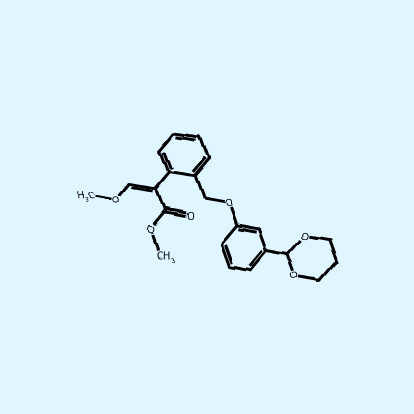 COC=C(C(=O)OC)c1ccccc1COc1cccc(C2OCCCO2)c1